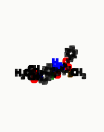 CSCC[C@H](NC(=O)OCc1ccccc1)C(=O)Nc1ccc2c(c1F)CCCN(C(=O)OC(C)(C)C)C2